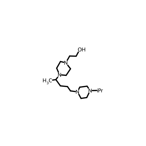 CC(C)N1CCN(CCCC(C)N2CCN(CCO)CC2)CC1